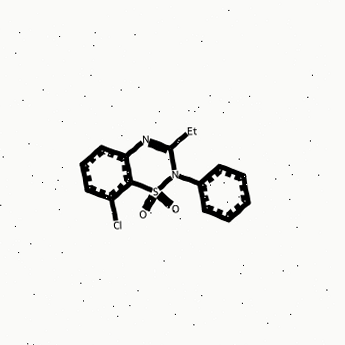 CCC1=Nc2cccc(Cl)c2S(=O)(=O)N1c1ccccc1